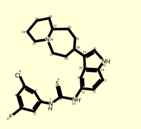 Fc1cc(Cl)cc(NC(=S)Nc2ccc3[nH]cc(C4CCC5CCCCN5CC4)c3c2)c1